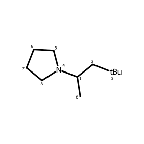 CC(CC(C)(C)C)N1CCCC1